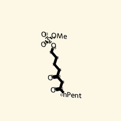 CCCCCC(=O)CC(=O)CCCCOS(=O)(=O)OC